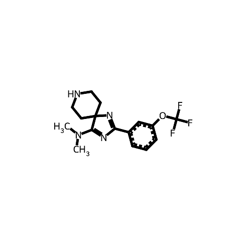 CN(C)C1=NC(c2cccc(OC(F)(F)F)c2)=NC12CCNCC2